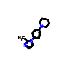 Cc1nccn1-c1ccc(N2CCCCC2)cc1